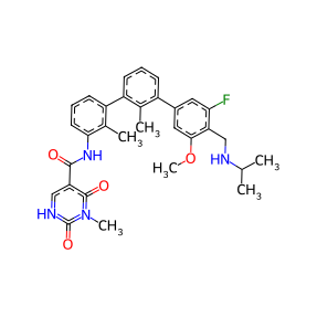 COc1cc(-c2cccc(-c3cccc(NC(=O)c4c[nH]c(=O)n(C)c4=O)c3C)c2C)cc(F)c1CNC(C)C